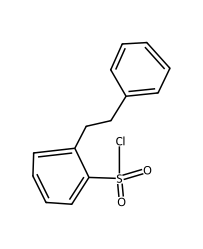 O=S(=O)(Cl)c1ccccc1CCc1ccccc1